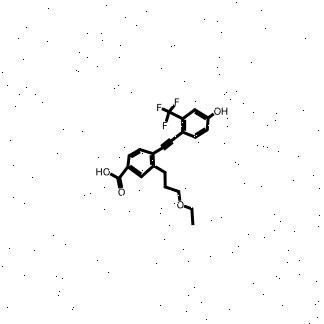 CCOCCCc1cc(C(=O)O)ccc1C#Cc1ccc(O)cc1C(F)(F)F